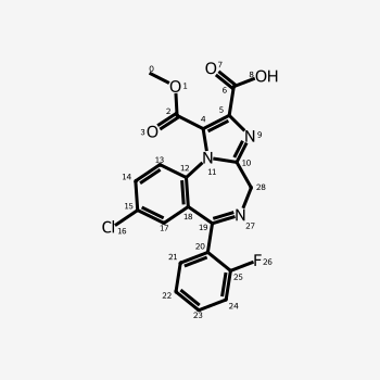 COC(=O)c1c(C(=O)O)nc2n1-c1ccc(Cl)cc1C(c1ccccc1F)=NC2